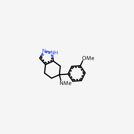 CNC1(c2cccc(OC)c2)CCc2cn[nH]c2C1